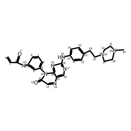 C=CC(=O)Nc1cccc(-n2c(=O)cnc3cnc(Nc4ccc(CCN5CCN(C)CC5)cc4)nc32)c1